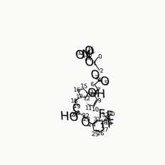 CC(COC(=O)CCC/C=C\C[C@H]1[C@@H](O)CC[C@@H]1C=C=C(O)COc1cccc(C(F)(F)F)c1)O[N+](=O)[O-]